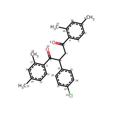 Cc1ccc(C(=O)CC(C(=O)c2ccc(C)cc2C)c2ccc(Cl)cc2)c(C)c1